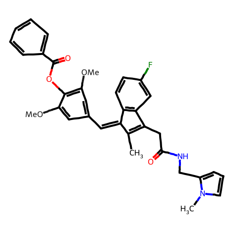 COc1cc(/C=C2/C(C)=C(CC(=O)NCc3cccn3C)c3cc(F)ccc32)cc(OC)c1OC(=O)c1ccccc1